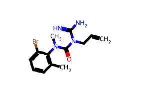 C=CCN(C(=N)N)C(=O)N(C)c1c(C)cccc1Br